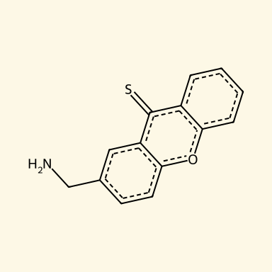 NCc1ccc2oc3ccccc3c(=S)c2c1